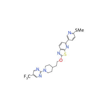 CSc1ccc(-c2ccc3nc(OCCC4CCN(c5ncc(C(F)(F)F)cn5)CC4)sc3n2)cn1